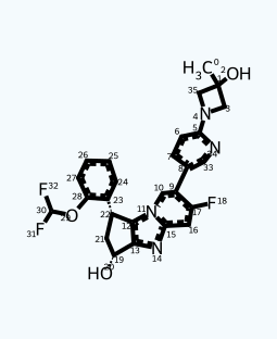 CC1(O)CN(c2ccc(-c3cn4c5c(nc4cc3F)[C@H](O)C[C@@H]5c3ccccc3OC(F)F)cn2)C1